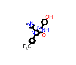 Cn1cc(-c2nc(-c3ccc(C(F)(F)F)cc3)cc3c(=O)[nH]c(C4CCC(O)CC4)nc23)cn1